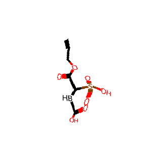 C=CCOC(=O)C(BC(=O)O)S(=O)(=O)O